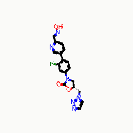 O=C1O[C@@H](Cn2ccnn2)CN1c1ccc(-c2ccc(C=NO)nc2)c(F)c1